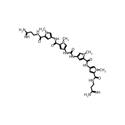 Cn1cc(NC(=O)c2cc(NC(=O)Nc3cc(C(=O)Nc4cc(C(=O)NCCC(=N)N)n(C)c4)n(C)c3)cn2C)cc1C(=O)NCCC(=N)N